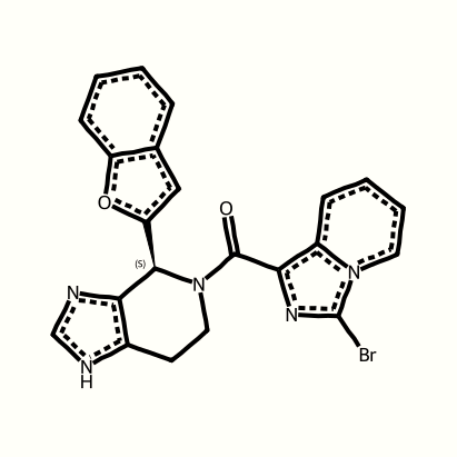 O=C(c1nc(Br)n2ccccc12)N1CCc2[nH]cnc2[C@H]1c1cc2ccccc2o1